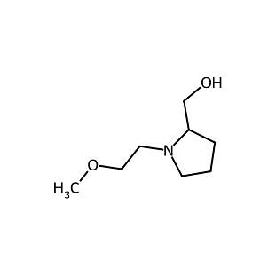 COCCN1CCCC1CO